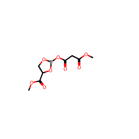 COC(=O)CC(=O)OB1OCC(C(=O)OC)O1